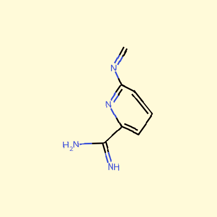 C=Nc1cccc(C(=N)N)n1